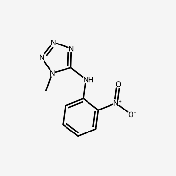 Cn1nnnc1Nc1ccccc1[N+](=O)[O-]